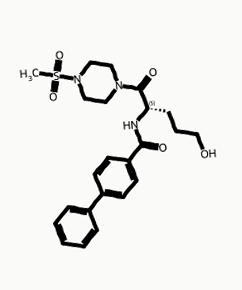 CS(=O)(=O)N1CCN(C(=O)[C@H](CCCO)NC(=O)c2ccc(-c3ccccc3)cc2)CC1